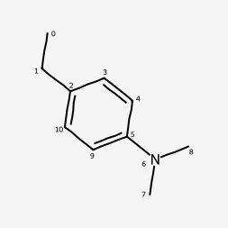 CCc1ccc(N(C)C)cc1